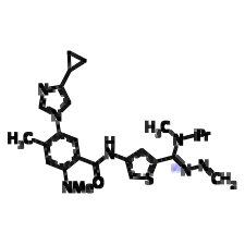 C=N/N=C(/c1cc(NC(=O)c2cc(-n3cnc(C4CC4)c3)c(C)cc2NC)cs1)N(C)C(C)C